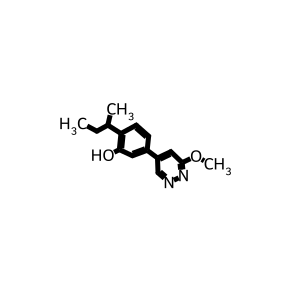 CCC(C)c1ccc(-c2cnnc(OC)c2)cc1O